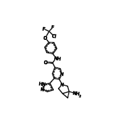 NC12CC1CN(c1ncc(C(=O)Nc3ccc(OC(F)(F)Cl)cc3)cc1-c1ccn[nH]1)C2